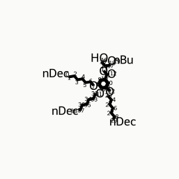 CCCCCCCCCCCCCCCCOc1cc(C(=O)OC(CO)COCCCC)cc(OCCCCCCCCCCCCCCCC)c1OCCCCCCCCCCCCCCCC